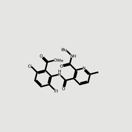 CCc1ccc(Cl)c(C(=O)OC)c1NC(=O)c1ccc(C)nc1C(=O)NC(C)CC